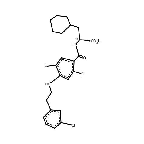 O=C(N[C@@H](CC1CCCCC1)C(=O)O)c1cc(F)c(NCCc2cccc(Cl)c2)cc1F